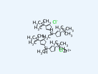 C[SiH](C1=CC([Si](C)(C)C)=CC1)C1=CC([Si](C)(C)C)=CC1.C[SiH](C1=CC([Si](C)(C)C)=CC1)C1=CC([Si](C)(C)C)=CC1.[Cl-].[Cl-].[Zr+2]